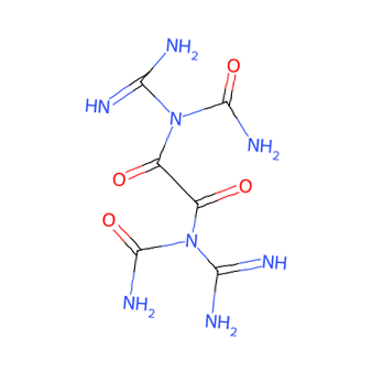 N=C(N)N(C(N)=O)C(=O)C(=O)N(C(=N)N)C(N)=O